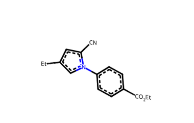 CCOC(=O)c1ccc(-n2cc(CC)cc2C#N)cc1